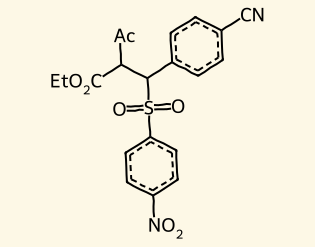 CCOC(=O)C(C(C)=O)C(c1ccc(C#N)cc1)S(=O)(=O)c1ccc([N+](=O)[O-])cc1